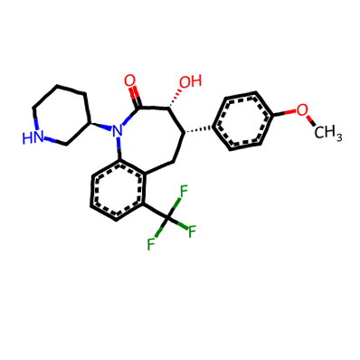 COc1ccc([C@@H]2Cc3c(cccc3C(F)(F)F)N([C@@H]3CCCNC3)C(=O)[C@@H]2O)cc1